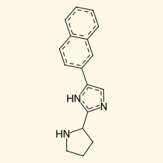 c1ccc2cc(-c3cnc(C4CCCN4)[nH]3)ccc2c1